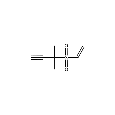 C#CC(C)(C)S(=O)(=O)C=C